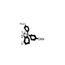 COc1ccc(Pc2ccc(OC)cc2)cc1.O=S(=O)([O-])c1ccccc1.[Li+]